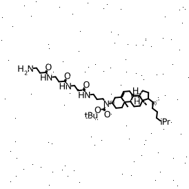 CC(C)CCC[C@@H](C)C1CC[C@H]2[C@H]3CC=C4C[C@H](N(CCCNC(=O)CCNC(=O)CCNC(=O)CCN)C(=O)OC(C)(C)C)CCC4(C)C3CCC12C